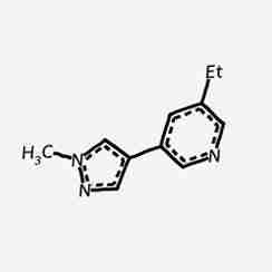 CCc1cncc(-c2cnn(C)c2)c1